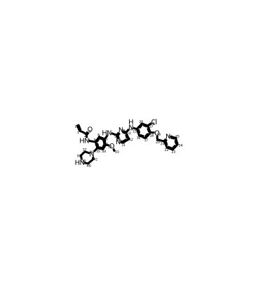 C=CC(=O)Nc1cc(Nc2nccc(Nc3ccc(OCc4ccccn4)c(Cl)c3)n2)c(OC)cc1N1CCNCC1